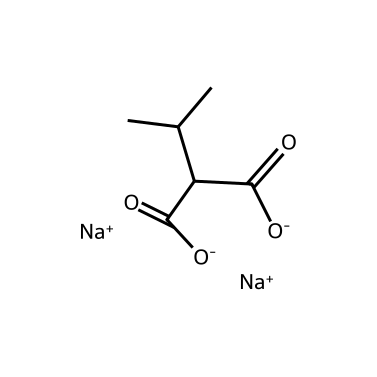 CC(C)C(C(=O)[O-])C(=O)[O-].[Na+].[Na+]